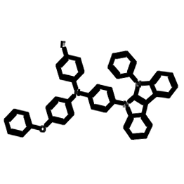 Fc1ccc(N(c2ccc(Oc3ccccc3)cc2)c2ccc(-n3c4ccccc4c4c5ccccc5n(-c5ccccc5)c43)cc2)cc1